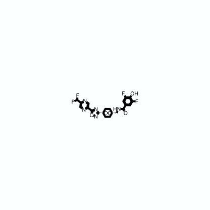 O=C(NC[C@]12CC[C@](c3noc(-c4cnc(C(F)F)cn4)n3)(CC1)CC2)c1cc(F)c(O)c(F)c1